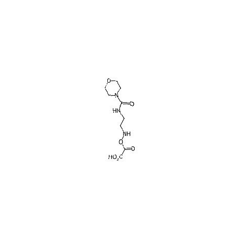 O=C(O)C(=O)ONCCNC(=O)N1CCOCC1